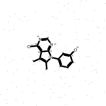 Cc1c(C)n(-c2cccc(Cl)c2)c2ncnc(Cl)c12